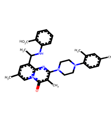 Cc1cc(C(C)Nc2ccccc2C(=O)O)c2nc(N3CCN(c4ccc(C#N)cc4C)CC3)c(C)c(=O)n2c1